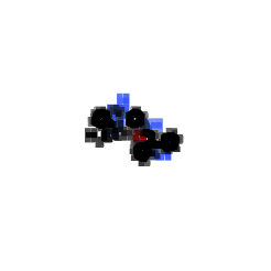 CN(C)c1nc(N[C@H]2CC[C@@H](NC(=O)Cc3c(-c4ccccc4)[nH]c4ccccc34)CC2)nc2ccccc12